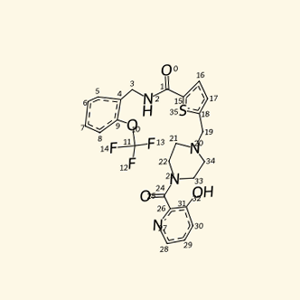 O=C(NCc1ccccc1OC(F)(F)F)c1ccc(CN2CCN(C(=O)c3ncccc3O)CC2)s1